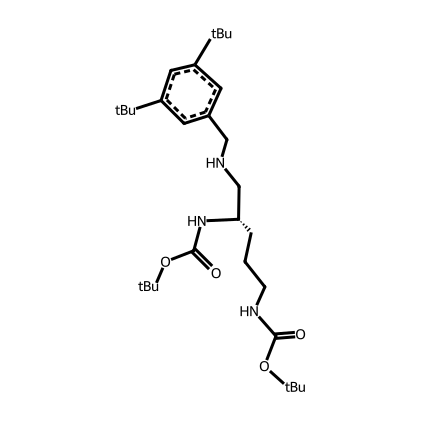 CC(C)(C)OC(=O)NCCC[C@@H](CNCc1cc(C(C)(C)C)cc(C(C)(C)C)c1)NC(=O)OC(C)(C)C